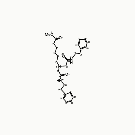 COC(=O)CCCCCN(CC(=O)NCCc1ccccc1)CC(=O)NCCc1ccccc1